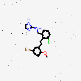 COc1ccc(Br)cc1CCc1c(Cl)cccc1CNC1=NCCN1